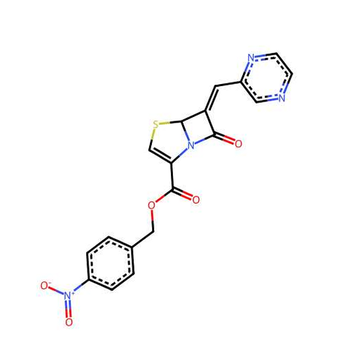 O=C(OCc1ccc([N+](=O)[O-])cc1)C1=CSC2C(=Cc3cnccn3)C(=O)N12